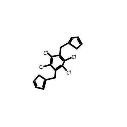 Clc1c(Cl)c(CC2=CC=CC2)c(Cl)c(Cl)c1CC1=CC=CC1